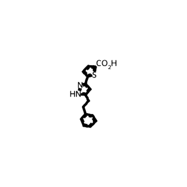 O=C(O)c1ccc(-c2cc(CCc3ccccc3)[nH]n2)s1